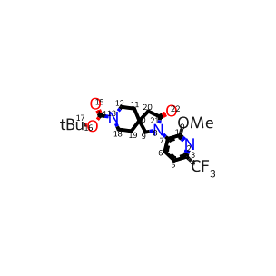 COc1nc(C(F)(F)F)ccc1N1CC2(CCN(C(=O)OC(C)(C)C)CC2)CC1=O